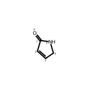 O=C1C=[C]CN1